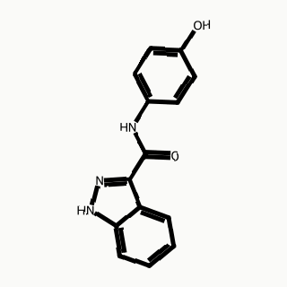 O=C(Nc1ccc(O)cc1)c1n[nH]c2ccccc12